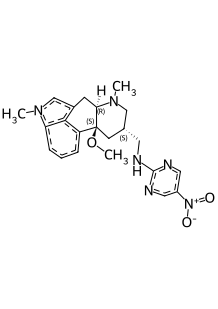 CO[C@]12C[C@@H](CNc3ncc([N+](=O)[O-])cn3)CN(C)[C@@H]1Cc1cn(C)c3cccc2c13